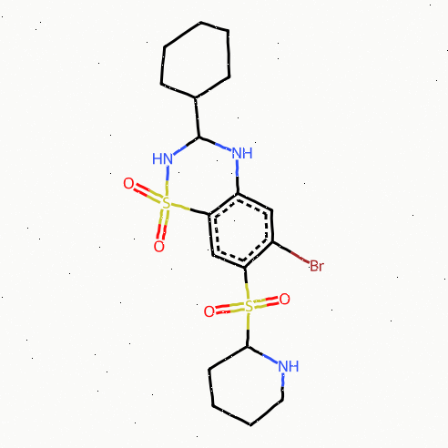 O=S1(=O)NC(C2CCCCC2)Nc2cc(Br)c(S(=O)(=O)C3CCCCN3)cc21